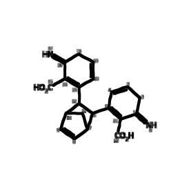 N=C1CC=CC(C2C3C=CC(C3)C2C2=C(C(=O)O)C(=N)CC=C2)=C1C(=O)O